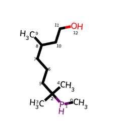 CPC(C)(C)CCCC(C)CCO